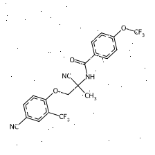 CC(C#N)(COc1ccc(C#N)cc1C(F)(F)F)NC(=O)c1ccc(OC(F)(F)F)cc1